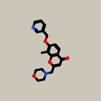 Cc1c(OCc2cccnc2)ccc2c(=O)cc(CN3CCOCC3)oc12